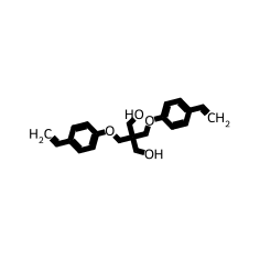 C=Cc1ccc(OCC(CO)(CO)COc2ccc(C=C)cc2)cc1